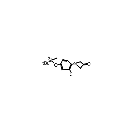 CC(C)(C)[Si](C)(C)Oc1ccc(N2CC(=O)C2)c(Cl)c1